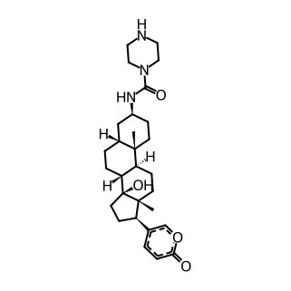 C[C@]12CC[C@H](NC(=O)N3CCNCC3)C[C@H]1CC[C@@H]1[C@@H]2CC[C@]2(C)[C@@H](c3ccc(=O)oc3)CC[C@]12O